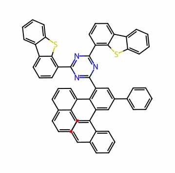 c1ccc(-c2cc(-c3nc(-c4cccc5c4sc4ccccc45)nc(-c4cccc5c4sc4ccccc45)n3)c(-c3cccc4ccccc34)c(-c3cccc4ccccc34)c2)cc1